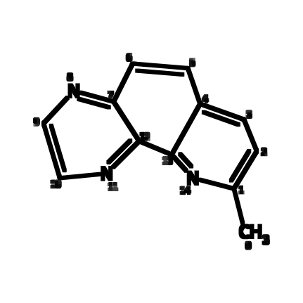 Cc1ccc2ccc3nccnc3c2n1